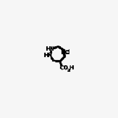 Cl.O=C(O)C1CCCNNC1